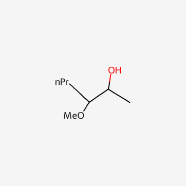 CCCC(OC)C(C)O